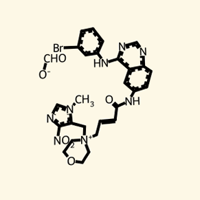 Cn1cnc([N+](=O)[O-])c1C[N+]1(CC=CC(=O)Nc2ccc3ncnc(Nc4cccc(Br)c4)c3c2)CCOCC1.O=C[O-]